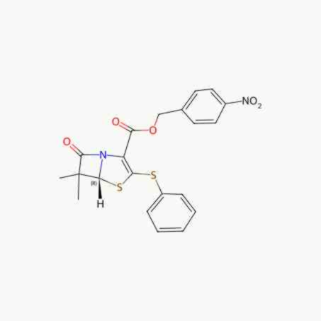 CC1(C)C(=O)N2C(C(=O)OCc3ccc([N+](=O)[O-])cc3)=C(Sc3ccccc3)S[C@@H]21